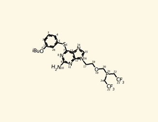 CC(C)COc1cccc(Sc2nc(N)nc3c2ncn3CCOCP(CC(F)(F)F)CC(F)(F)F)c1